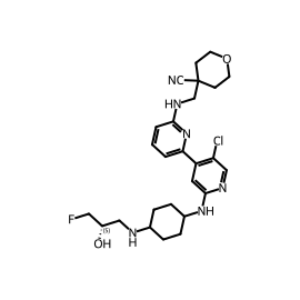 N#CC1(CNc2cccc(-c3cc(NC4CCC(NC[C@H](O)CF)CC4)ncc3Cl)n2)CCOCC1